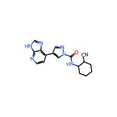 N#CC1CCCCC1NC(=O)n1cc(-c2ccnc3[nH]cnc23)cn1